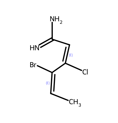 C/C=C(Br)\C(Cl)=C/C(=N)N